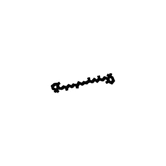 CC1=C(/C=C/C(C)=C/C=C/C(C)=C/C=C/C=C(C)/C=C/C=C(C)/C=C/C2=C(C)C=CCC2(C)C)C(C)(C)CC=C1